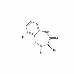 CC[C@H](C)[C@H]1C(=O)Nc2cncc(F)c2CN1C(C)=O